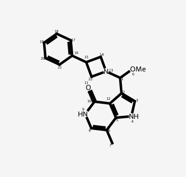 COC(c1c[nH]c2c(C)c[nH]c(=O)c12)N1CC(c2ccccc2)C1